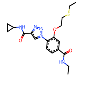 CCNC(=O)c1ccc(-n2cc(C(=O)NC3CC3)nn2)c(OCCSCC)c1